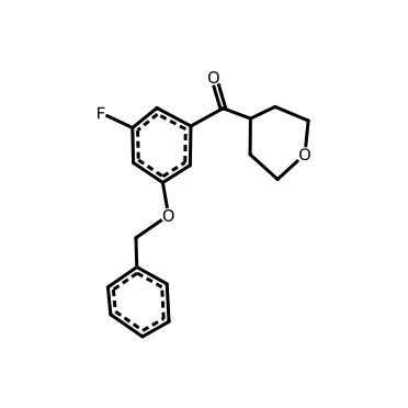 O=C(c1cc(F)cc(OCc2ccccc2)c1)C1CCOCC1